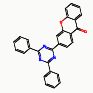 O=c1c2ccccc2oc2cc(-c3nc(-c4ccccc4)nc(-c4ccccc4)n3)ccc12